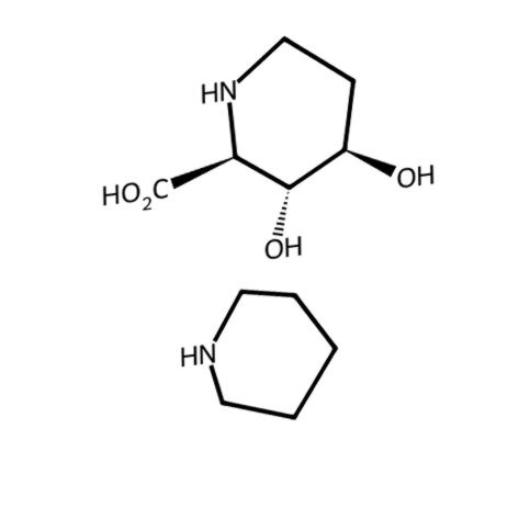 C1CCNCC1.O=C(O)[C@H]1NCC[C@@H](O)[C@@H]1O